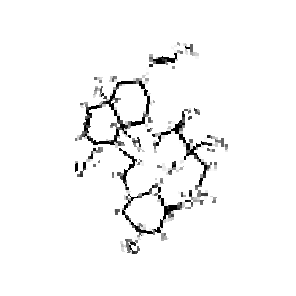 C/C=C/[C@@H]1C[C@H](OC(=O)C(C)(C)CC)[C@@H]2[C@@H](CC[C@@H]3C[C@@H](O)CC(=O)O3)[C@@H](C)C=C[C@H]2C1